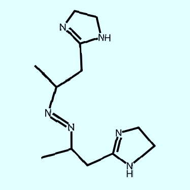 CC(CC1=NCCN1)N=NC(C)CC1=NCCN1